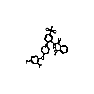 COc1ccccc1C(=O)Nc1cc(S(C)(=O)=O)ccc1N1CCC(Oc2ccc(F)cc2F)CC1